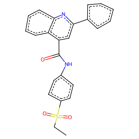 CCS(=O)(=O)c1ccc(NC(=O)c2cc(-c3ccccc3)nc3ccccc23)cc1